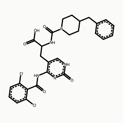 O=C(Nc1nc(=O)[nH]cc1CC(NC(=O)N1CCC(Cc2ccccc2)CC1)C(=O)O)c1c(Cl)cccc1Cl